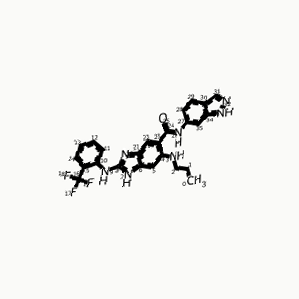 CCCNc1cc2[nH]c(Nc3ccccc3C(F)(F)F)nc2cc1C(=O)Nc1ccc2cn[nH]c2c1